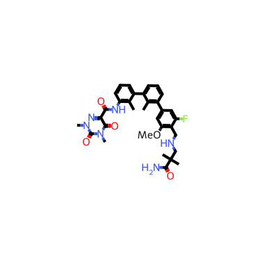 COc1cc(-c2cccc(-c3cccc(NC(=O)c4nn(C)c(=O)n(C)c4=O)c3C)c2C)cc(F)c1CNCC(C)(C)C(N)=O